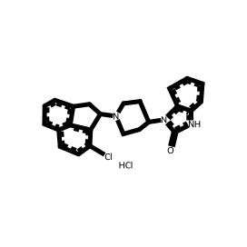 Cl.O=c1[nH]c2ccccc2n1C1CCN(C2Cc3cccc4ccc(Cl)c2c34)CC1